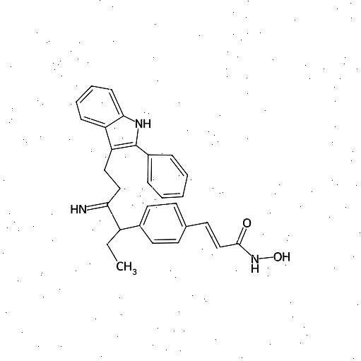 CCC(C(=N)CCc1c(-c2ccccc2)[nH]c2ccccc12)c1ccc(/C=C/C(=O)NO)cc1